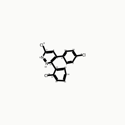 Clc1ccc(-c2cc(Cl)nnc2-c2ccccc2Cl)cc1